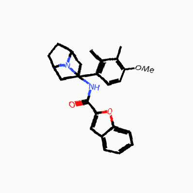 COc1ccc(CN2C3CCC2CC(NC(=O)c2cc4ccccc4o2)C3)c(C)c1C